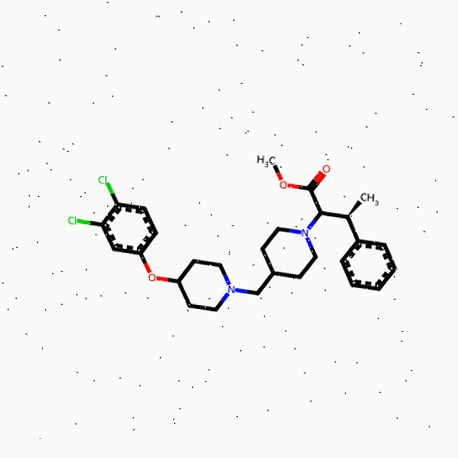 COC(=O)C([C@@H](C)c1ccccc1)N1CCC(CN2CCC(Oc3ccc(Cl)c(Cl)c3)CC2)CC1